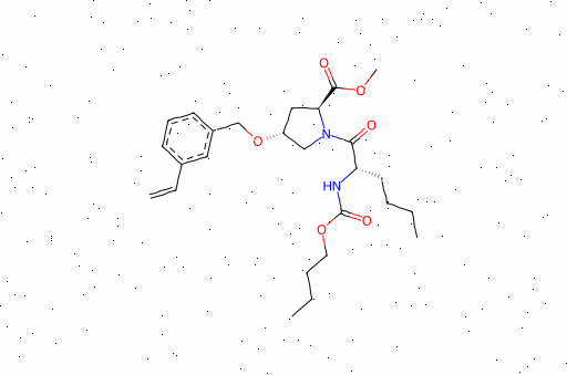 C=Cc1cccc(CO[C@@H]2C[C@@H](C(=O)OC)N(C(=O)[C@H](CCCC)NC(=O)OCCCC)C2)c1